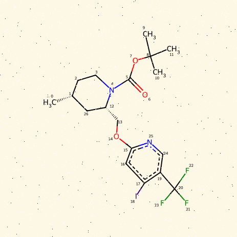 C[C@@H]1CCN(C(=O)OC(C)(C)C)[C@H](COc2cc(I)c(C(F)(F)F)cn2)C1